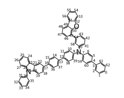 c1ccc(-c2ccc(N(c3ccc(-c4ccc(-c5ccc6c(c5)c5ccccc5n6-c5ccccc5)cc4)cc3)c3cccc(-c4cccc5c4oc4ccccc45)c3)cc2)cc1